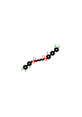 O=C(CCCCCC(=O)Oc1ccc(-c2ccc(-c3ccc(F)c(F)c3)cc2)c(F)c1)OCc1ccc(-c2ccc(F)c(F)c2)c(F)c1